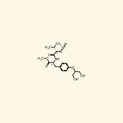 COC(=O)[C@H](Cc1ccc(OC(CO)CO)cc1)NC(=O)[C@@H](N=[N+]=[N-])C(C)C